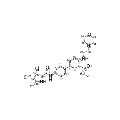 COC(=O)c1cc(-c2ccc(NC(=O)c3[nH]c(C)c(Cl)c3Cl)cc2)cnc1NCCN1CCOCC1